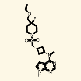 CCOCC1(F)CCN(S(=O)(=O)C[C@H]2C[C@@H](N(C)c3ncnc4[nH]ccc34)C2)CC1